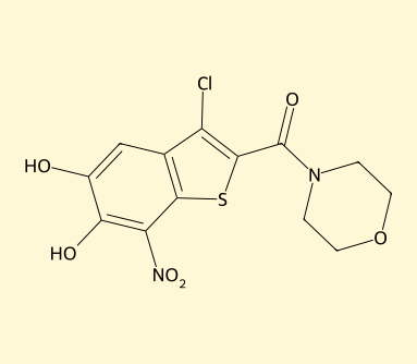 O=C(c1sc2c([N+](=O)[O-])c(O)c(O)cc2c1Cl)N1CCOCC1